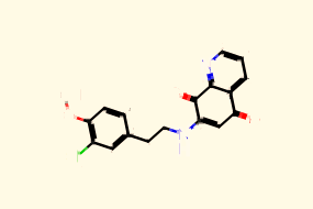 COc1ccc(CCNC2=CC(=O)c3cccnc3C2=O)cc1Cl